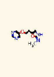 CN=c1[nH]cc(CCOc2cncnc2)o1